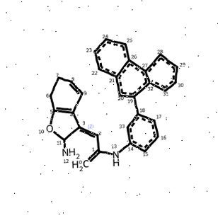 C=C(/C=C1/C2=C(CCC=C2)OC1N)Nc1cccc(-c2cc3ccccc3c3ccccc23)c1